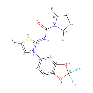 Cc1cn(-c2ccc3c(c2)OC(F)(F)O3)c(=NC(=O)N2C(C)CCC2C)s1